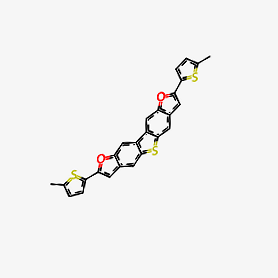 Cc1ccc(-c2cc3cc4sc5cc6cc(-c7ccc(C)s7)oc6cc5c4cc3o2)s1